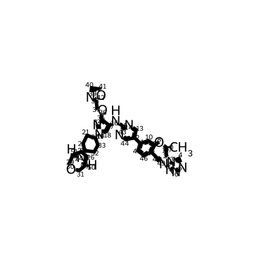 C[C@@H](Cn1cnnn1)Oc1cc(-c2cnc(Nc3cn([C@H]4CC[C@H](N5[C@@H]6CC[C@H]5COC6)CC4)nc3OCc3ncco3)nc2)ccc1C#N